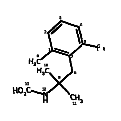 Cc1cccc(F)c1CC(C)(C)NC(=O)O